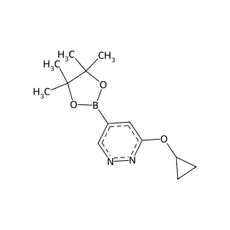 CC1(C)OB(c2cnnc(OC3CC3)c2)OC1(C)C